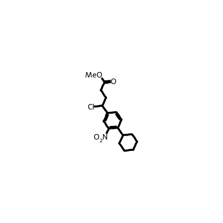 COC(=O)CCC(Cl)c1ccc(C2CCCCC2)c([N+](=O)[O-])c1